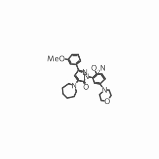 COc1cccc(-c2cc(N3CCCCCC3)c(=O)n(-c3cc(N4CCOCC4)ccc3[N+](=O)[O-])n2)c1